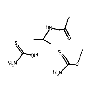 CC(=O)NC(C)C.COC(N)=S.NC(O)=S